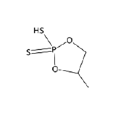 CC1COP(=S)(S)O1